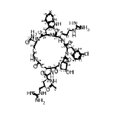 CC(=O)N[C@@H](CCCNC(=N)N)C(=O)N[C@H]1CCC(=O)NCCC[C@@H](C(N)=O)NC(=O)C(Cc2c[nH]c3ccccc23)NC(=O)[C@H](CCCNC(=N)N)NC(=O)[C@@H](Cc2cccc(Cl)c2)NC(=O)[C@@H]2C[C@@H](O)CN2C1=O